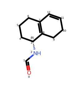 O=CN[C@@H]1CCCC2=C1CCC=C2